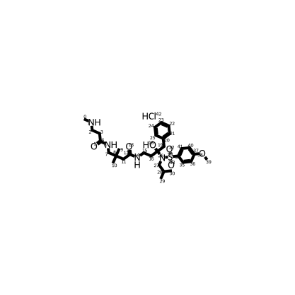 CNCCC(=O)NCC(C)(C)CC(=O)NCCC(O)(Cc1ccccc1)N(CC(C)C)S(=O)(=O)c1ccc(OC)cc1.Cl